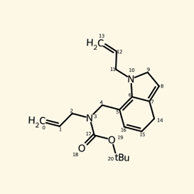 C=CCN(CC1=C2C(=CCN2CC=C)CC=C1)C(=O)OC(C)(C)C